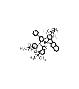 CC(C)(C)c1ccc(N2c3cc(-c4ccccc4)cc4c3B(c3sc5ccc(C(C)(C)C)cc5c32)n2c3cc5ccccc5cc3c3cc(C(C)(C)C)cc-4c32)cc1